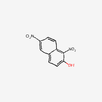 O=[N+]([O-])c1ccc2c([N+](=O)[O-])c(O)ccc2c1